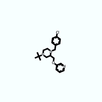 CC(C)(C)N1CCN(Cc2ccc(Cl)cc2)C(COc2cccnc2)C1